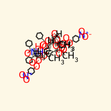 CC(=O)O[C@H]1C(=O)[C@]2(C)[C@@H](OC(=O)Oc3ccc([N+](=O)[O-])cc3)C[C@H]3OC[C@@]3(OC(C)=O)[C@H]2[C@H](OC(=O)c2ccccc2)[C@]2(O)C[C@H](OC(=O)[C@H](OC(=O)Oc3ccc([N+](=O)[O-])cc3)[C@@H](NC(=O)c3ccccc3)c3ccccc3)C(C)=C1C2(C)C